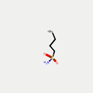 C[CH]CCCCCS(N)(=O)=O